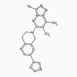 [2H]c1nnc2c(C)c(C)c(N3CCc4ncc(-c5cncs5)cc4C3)nn12